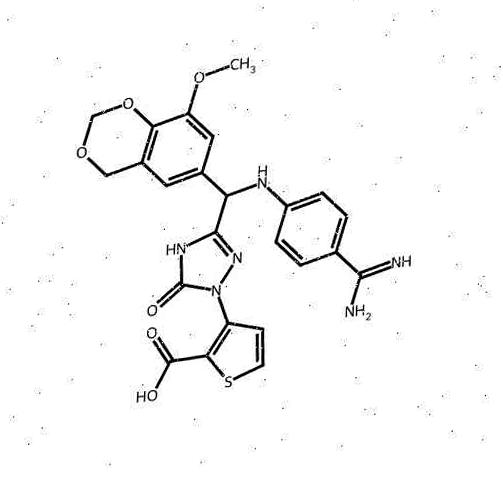 COc1cc(C(Nc2ccc(C(=N)N)cc2)c2nn(-c3ccsc3C(=O)O)c(=O)[nH]2)cc2c1OCOC2